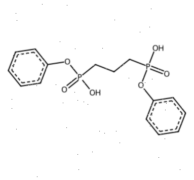 O=P(O)(CCCP(=O)(O)Oc1ccccc1)Oc1ccccc1